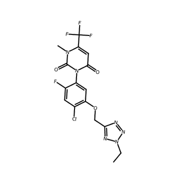 CCn1nnc(COc2cc(-n3c(=O)cc(C(F)(F)F)n(C)c3=O)c(F)cc2Cl)n1